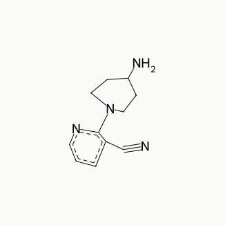 N#Cc1cccnc1N1CCC(N)CC1